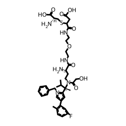 Cc1ccc(F)cc1-c1cc([C@](C)(C(C)C)N(CC[C@H](N)C(=O)NCCOCCNC(=O)C(CC(=O)O)SC[C@H](N)C(=O)O)C(=O)CO)n(Cc2ccccc2)c1